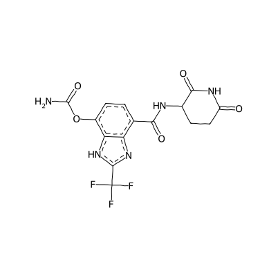 NC(=O)Oc1ccc(C(=O)NC2CCC(=O)NC2=O)c2nc(C(F)(F)F)[nH]c12